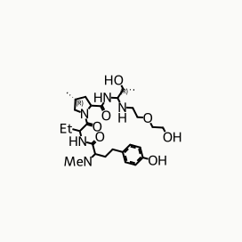 CCC(NC(=O)C(CCc1ccc(O)cc1)NC)C(=O)N1C[C@H](C)CC1C(=O)NC(NCCOCCO)[C@@H](C)O